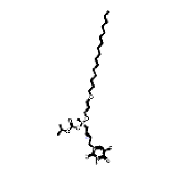 CCCCCCCCCCCCCCCCOCCCOP(C)(=C/C=C/Cn1cc(F)c(=O)[nH]c1=O)OC(=O)OC(C)C